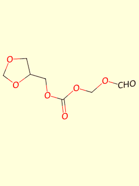 O=COCOC(=O)OCC1COCO1